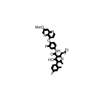 CCOCc1nc(C)c(-c2ccc(F)cc2C)c(O)c1C(=O)Nc1ccc(Oc2ccnc3cc(OC)cnc23)c(F)c1